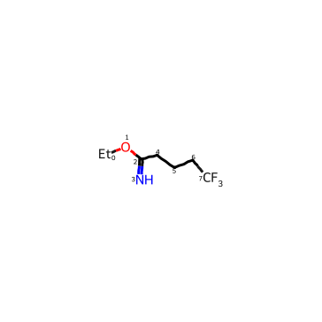 CCOC(=N)CCCC(F)(F)F